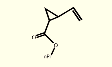 C=CC1CC1C(=O)OCCC